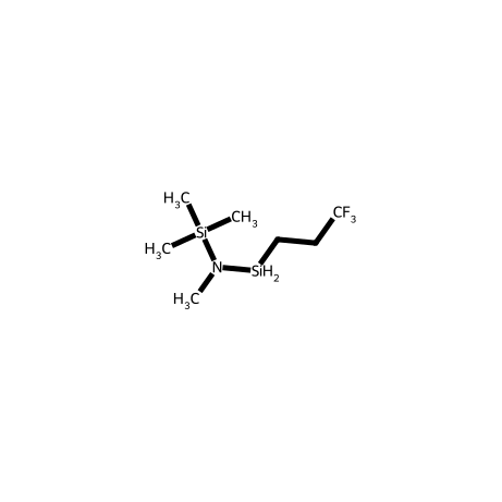 CN([SiH2]CCC(F)(F)F)[Si](C)(C)C